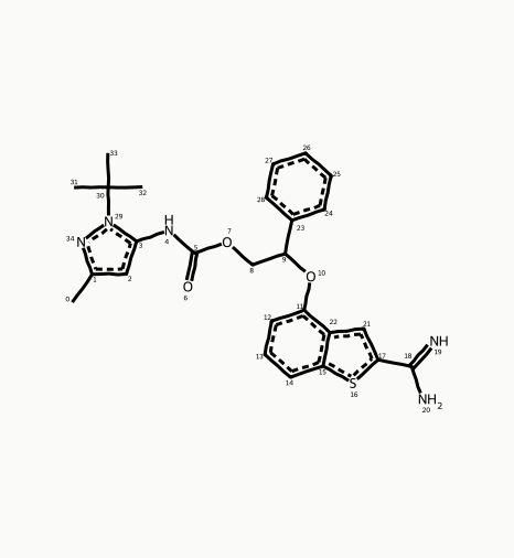 Cc1cc(NC(=O)OCC(Oc2cccc3sc(C(=N)N)cc23)c2ccccc2)n(C(C)(C)C)n1